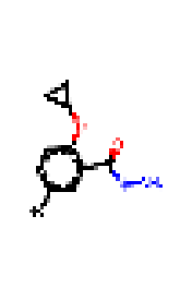 N#Cc1ccc(OC2CC2)c(C(=O)NN)c1